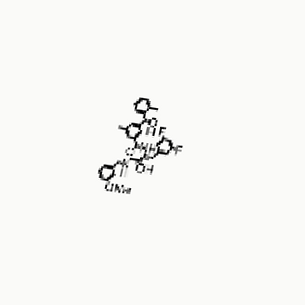 COc1cccc(CNC[C@@H](O)[C@H](Cc2cc(F)cc(F)c2)NC(=O)c2cc(C)cc(C(O)c3ccccc3C)c2)c1